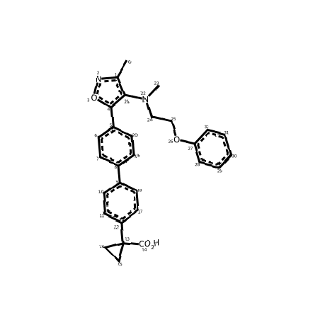 Cc1noc(-c2ccc(-c3ccc(C4(C(=O)O)CC4)cc3)cc2)c1N(C)CCOc1ccccc1